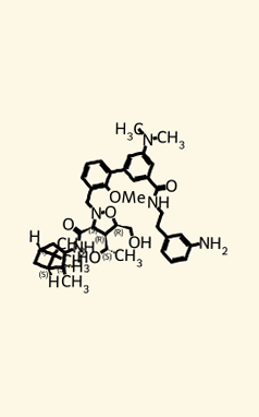 COc1c(CN2O[C@@H](CO)[C@@H]([C@H](C)O)[C@H]2C(=O)NC2C[C@H]3C[C@@H]([C@@H]2C)C3(C)C)cccc1-c1cc(C(=O)NCCc2cccc(N)c2)cc(N(C)C)c1